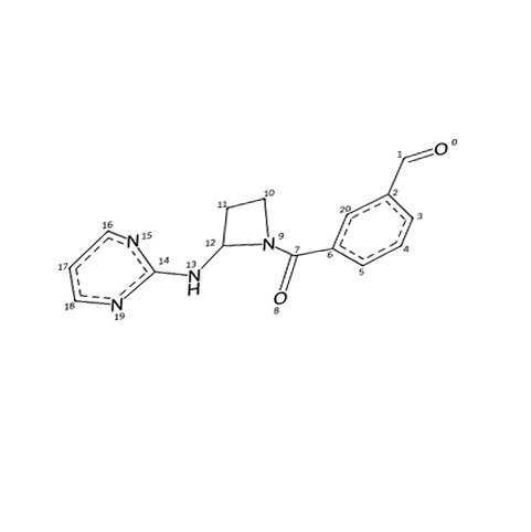 O=Cc1cccc(C(=O)N2CCC2Nc2ncccn2)c1